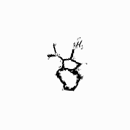 CN(C)C1c2ccccc2CC1N